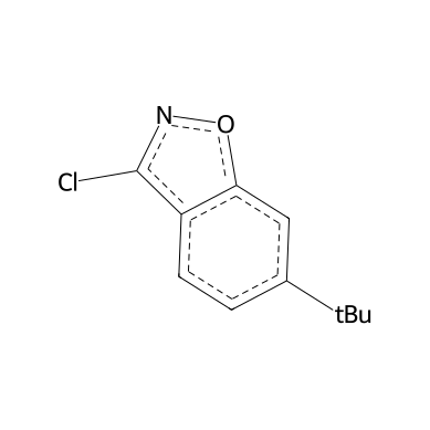 CC(C)(C)c1ccc2c(Cl)noc2c1